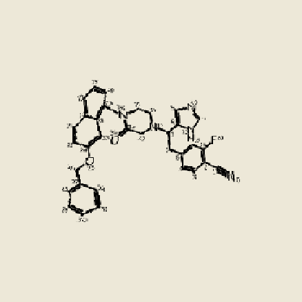 N#Cc1ccc(CC(c2cnc[nH]2)N2CCN(c3cccc4ccc(OCc5ccccc5)cc34)C(=O)C2)cc1F